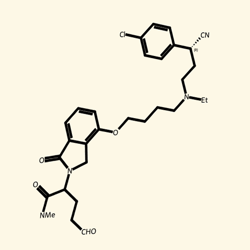 CCN(CCCCOc1cccc2c1CN(C(CCC=O)C(=O)NC)C2=O)CC[C@@H](C#N)c1ccc(Cl)cc1